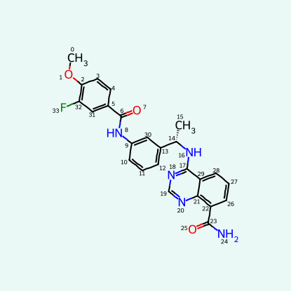 COc1ccc(C(=O)Nc2cccc([C@H](C)Nc3ncnc4c(C(N)=O)cccc34)c2)cc1F